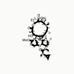 CC[C@H]1OC(=O)[C@H](C)[C@@H](O)[C@H](C)[C@@H](O[C@@H]2O[C@H](C)C[C@H](N(C)C(=O)N(C)C3CC3)[C@H]2Oc2cnc(OC)nc2)[C@](C)(O)C[C@@H](C)CN(C)[C@H](C)[C@@H](O)[C@]1(C)O